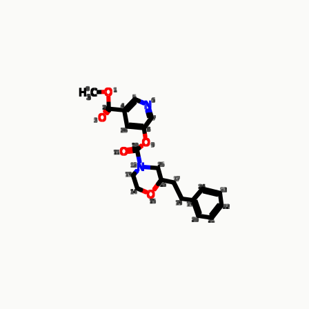 COC(=O)c1cncc(OC(=O)N2CCOC(CCc3ccccc3)C2)c1